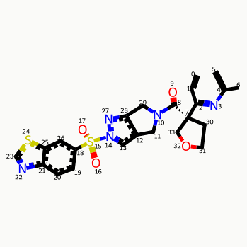 C=C/C(=N\C(=C)C)[C@@]1(C(=O)N2Cc3cn(S(=O)(=O)c4ccc5ncsc5c4)nc3C2)CCOC1